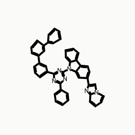 c1ccc(-c2cccc(-c3cccc(-c4nc(-c5ccccc5)nc(-n5c6ccccc6c6ccc(-c7cn8ccccc8n7)cc65)n4)c3)c2)cc1